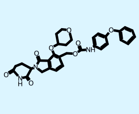 O=C1CCC(N2Cc3ccc(COC(=O)Nc4ccc(Oc5ccccc5)cc4)c(OC4CCOCC4)c3C2=O)C(=O)N1